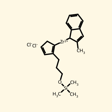 CC1=Cc2ccccc2[CH]1[Zr+2][C]1=C(CCCO[Si](C)(C)C)C=CC1.[Cl-].[Cl-]